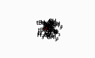 Cc1cc2c(cc1N1c3cc(-c4ccccc4)ccc3B3c4cc5c(cc4N(c4ccc(C(C)(C)C)cc4-c4ccccc4)c4cc(C(C)(C)C)cc1c43)C(C)(C)CCC5(C)C)C(C)(C)CC2(C)C